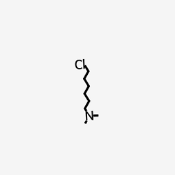 CN(C)CCCCCCCl